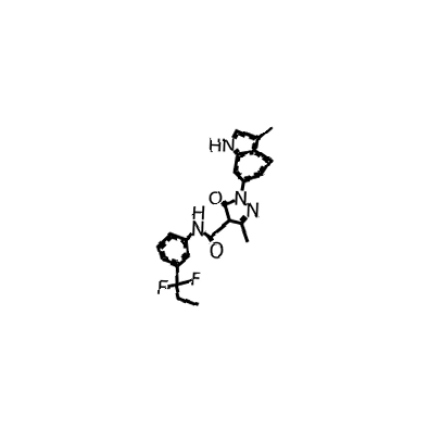 CCC(F)(F)c1cccc(NC(=O)C2C(=O)N(c3ccc4c(C)c[nH]c4c3)N=C2C)c1